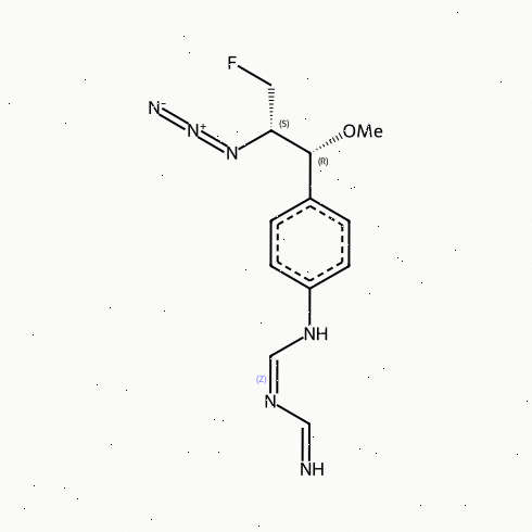 CO[C@H](c1ccc(N/C=N\C=N)cc1)[C@@H](CF)N=[N+]=[N-]